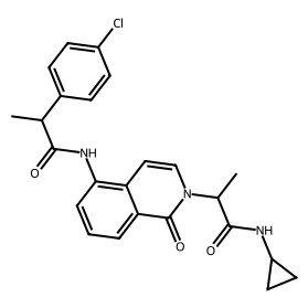 CC(C(=O)Nc1cccc2c(=O)n(C(C)C(=O)NC3CC3)ccc12)c1ccc(Cl)cc1